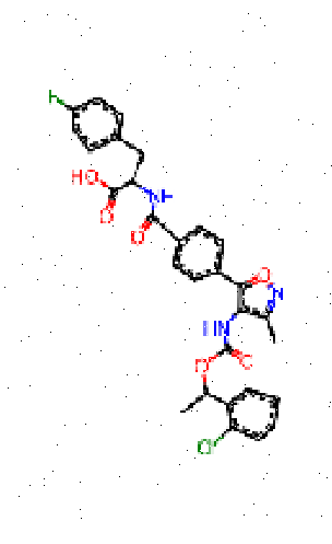 Cc1noc(-c2ccc(C(=O)N[C@H](Cc3ccc(F)cc3)C(=O)O)cc2)c1NC(=O)OC(C)c1ccccc1Cl